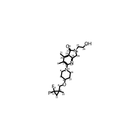 Cc1c(N2CCC(OCC3(C)CC3(F)F)CC2)nc2c(c1C)C(=O)N(CCO)C2